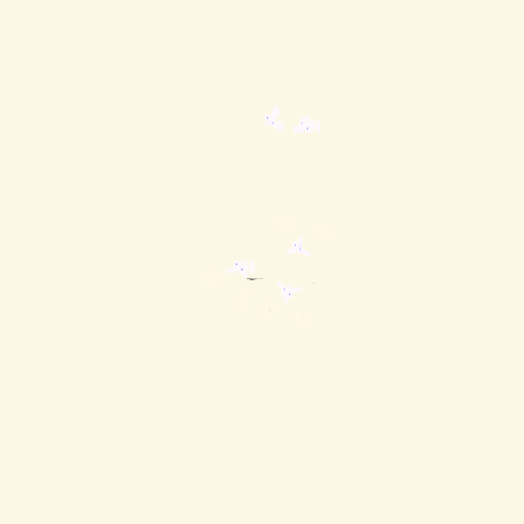 Cl.O=C(NO)[C@H]1CN(S(=O)(=O)CCCSc2ncc[nH]2)CCN1S(=O)(=O)c1ccc(-c2ccc(F)cc2)s1